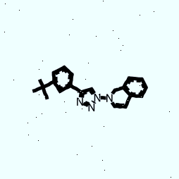 CC(C)(C)c1cccc(-c2cn(N3C=Cc4ccccc4C3)nn2)c1